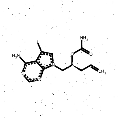 C=CC[C@@H](Cn1cc(I)c2c(N)ncnc21)OC(N)=O